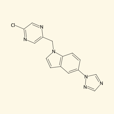 Clc1cnc(Cn2ccc3cc(-n4cncn4)ccc32)cn1